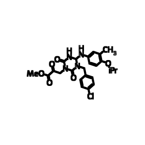 COC(=O)C(=O)CN1C(=O)NC(Nc2ccc(OC(C)C)c(C)c2)N(Cc2ccc(Cl)cc2)C1=O